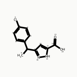 CC(c1ccc(Cl)cc1)c1cc(C(=O)O)[nH]n1